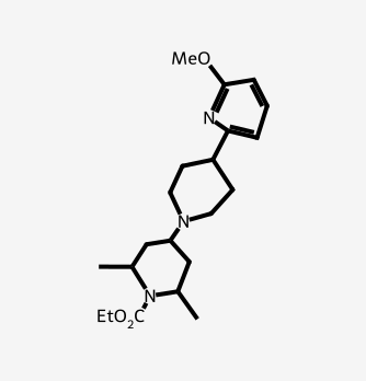 CCOC(=O)N1C(C)CC(N2CCC(c3cccc(OC)n3)CC2)CC1C